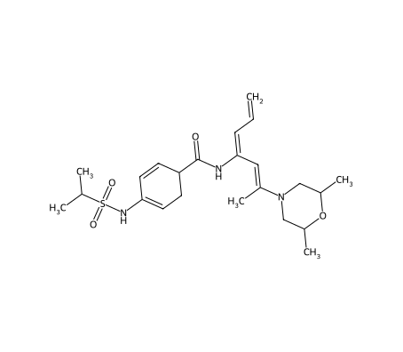 C=C/C=C(\C=C(/C)N1CC(C)OC(C)C1)NC(=O)C1C=CC(NS(=O)(=O)C(C)C)=CC1